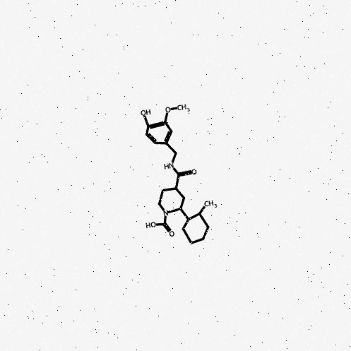 COc1cc(CNC(=O)C2CCN(C(=O)O)C(C3CCCCC3C)C2)ccc1O